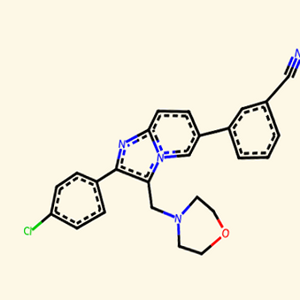 N#Cc1cccc(-c2ccc3nc(-c4ccc(Cl)cc4)c(CN4CCOCC4)n3c2)c1